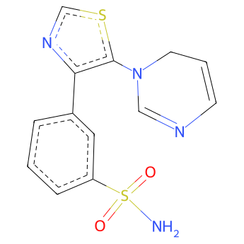 NS(=O)(=O)c1cccc(-c2ncsc2N2C=NC=CC2)c1